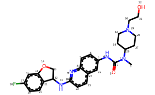 CN(C(=O)Nc1ccc2nc(NC3COc4cc(F)ccc43)ccc2c1)C1CCN(CCO)CC1